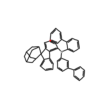 c1ccc(-c2cccc(N(c3ccccc3-c3ccccc3)c3cccc4c3-c3ccccc3C43C4CC5CC(C4)CC3C5)c2)cc1